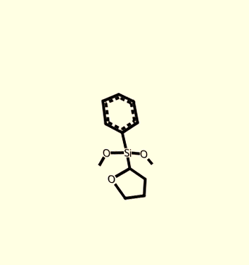 CO[Si](OC)(c1ccccc1)C1CCCO1